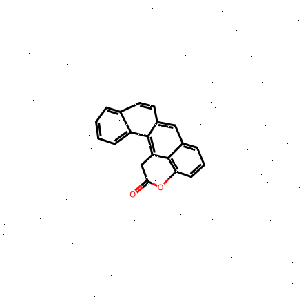 O=C1Cc2c3c(cccc3cc3ccc4ccccc4c23)O1